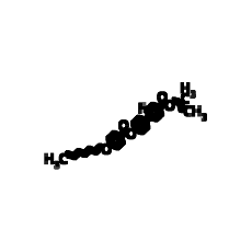 CCCCCCCCOc1ccc(C(=O)Oc2ccc(-c3ccc(C(=O)OCC(C)CC)cc3F)cc2)cc1